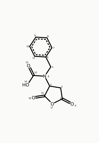 O=C1CC(N(Cc2ccccc2)C(=O)O)C(=O)O1